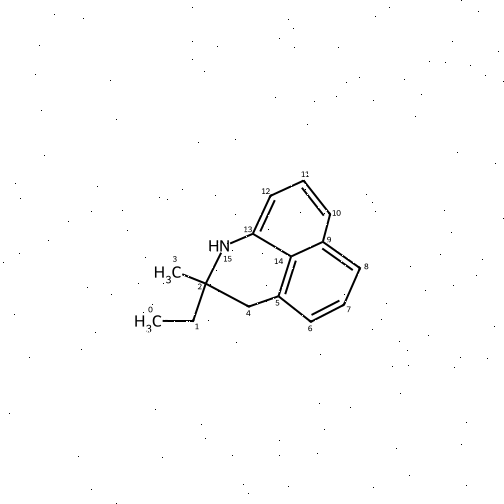 CCC1(C)Cc2cccc3cccc(c23)N1